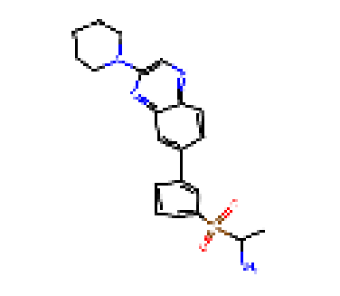 CC(N)S(=O)(=O)c1cccc(-c2ccc3ncc(N4CCCCC4)nc3c2)c1